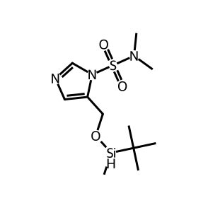 CN(C)S(=O)(=O)n1cncc1CO[SiH](C)C(C)(C)C